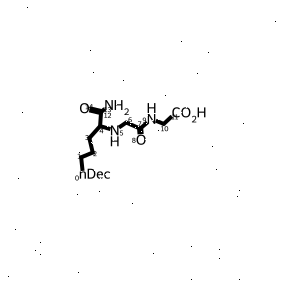 CCCCCCCCCCCCCC(NCC(=O)NCC(=O)O)C(N)=O